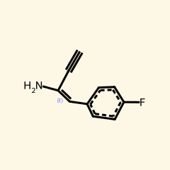 C#C/C(N)=C\c1ccc(F)cc1